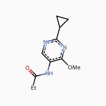 CCC(=O)Nc1cnc(C2CC2)nc1OC